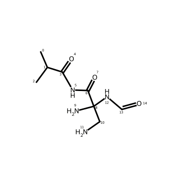 CC(C)C(=O)NC(=O)C(N)(CN)NC=O